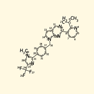 CC(C)c1ncccc1-c1ncc2ccn(Cc3ccc(-c4nc(C(F)(F)F)cn4C)cc3)c2n1